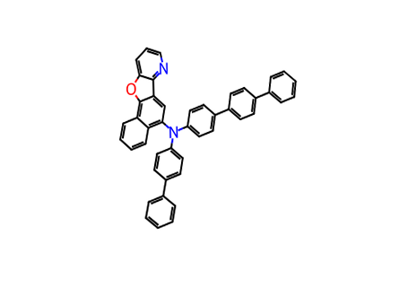 c1ccc(-c2ccc(-c3ccc(N(c4ccc(-c5ccccc5)cc4)c4cc5c6ncccc6oc5c5ccccc45)cc3)cc2)cc1